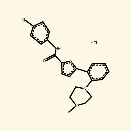 CN1CCN(c2ccccc2-c2ccc(C(=O)Nc3ccc(Cl)cc3)s2)CC1.Cl